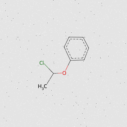 CC(Cl)Oc1cc[c]cc1